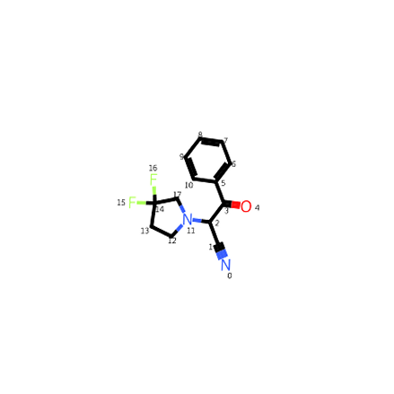 N#CC(C(=O)c1ccccc1)N1CCC(F)(F)C1